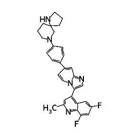 Cc1cc(-c2cnc3cc(-c4ccc(N5CCCC6(CCCN6)C5)cc4)ccn23)c2cc(F)cc(F)c2n1